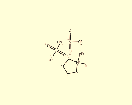 CCC[N+]1(C)CCCC1.O=S(=O)(NS(=O)(=O)C(F)(F)F)C(F)(F)F